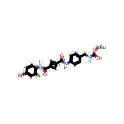 CC(C)(C)OC(=O)NCc1ccc(NC(=O)C23CC(C(=O)Nc4ccc(Br)cc4F)(C2)C3)cc1